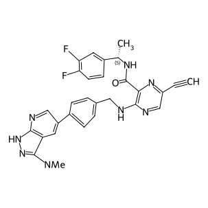 C#Cc1cnc(NCc2ccc(-c3cnc4[nH]nc(NC)c4c3)cc2)c(C(=O)N[C@@H](C)c2ccc(F)c(F)c2)n1